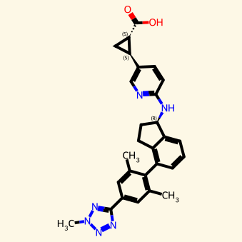 Cc1cc(-c2nnn(C)n2)cc(C)c1-c1cccc2c1CC[C@H]2Nc1ccc([C@H]2C[C@@H]2C(=O)O)cn1